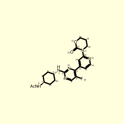 CC(=O)N[C@H]1CC[C@H](Nc2ncc(F)c(-c3ccnc(N4CCCOC4=O)c3)n2)CC1